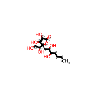 CCCCC(O)C(O)C[C@]1([C@@H](O)CO)OC(=O)C(O)=C1O